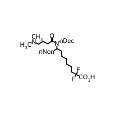 CCCCCCCCCCN(C(=O)CCCN(C)C)C(CCCCCCCCC)CCCCCCC(F)(F)C(=O)O